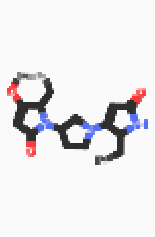 CC(C)CC1NC(=O)C=C1N1CCC(N2C(=O)C=C(OC(C)(C)C)C2CC(C)C)C1